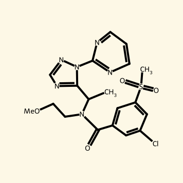 COCCN(C(=O)c1cc(Cl)cc(S(C)(=O)=O)c1)C(C)c1ncnn1-c1ncccn1